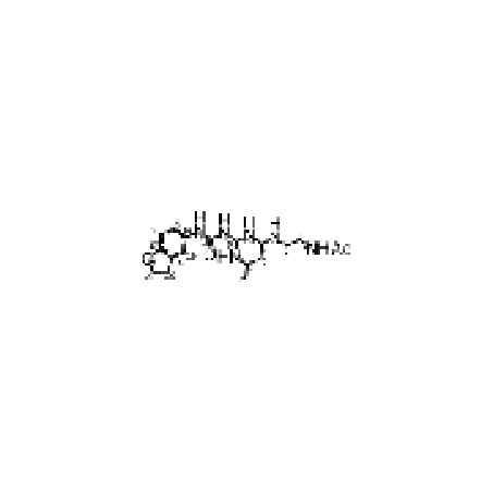 CC(=O)NCCNC1CC(C)NC(NC(=O)Nc2ccc3c(c2)CCO3)N1